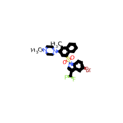 Cc1c(N2CCN(C)CC2)cc(S(=O)(=O)n2cc(C(F)F)c3cc(Br)ccc32)c2ccccc12